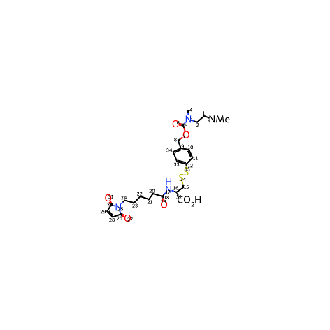 CNCCN(C)C(=O)OCc1ccc(SSC[C@H](NC(=O)CCCCCN2C(=O)C=CC2=O)C(=O)O)cc1